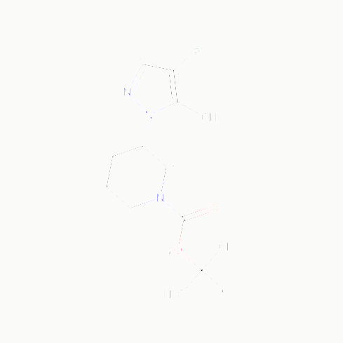 Cc1c(Br)cnn1[C@H]1CCCN(C(=O)OC(C)(C)C)C1